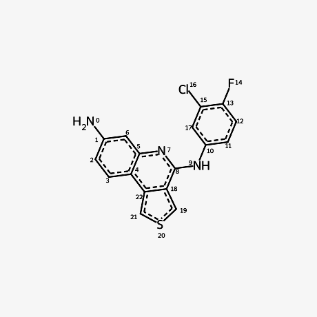 Nc1ccc2c(c1)nc(Nc1ccc(F)c(Cl)c1)c1cscc12